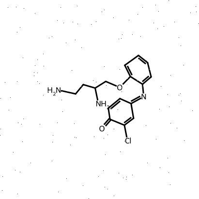 NCCC(N)COc1ccccc1N=C1C=CC(=O)C(Cl)=C1